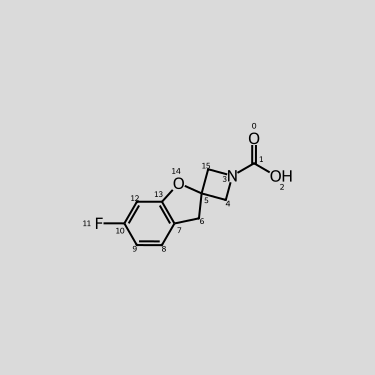 O=C(O)N1CC2(Cc3ccc(F)cc3O2)C1